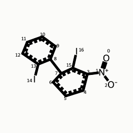 O=[N+]([O-])c1cccc(-c2ccccc2I)c1I